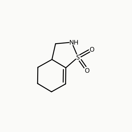 O=S1(=O)NCC2CCCC=C21